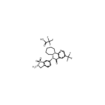 CN1Cc2ccc(NC(=O)c3cc(C(F)(F)F)cnc3N3CCCCCC3)cc2S1(=O)=O.O=C(O)C(F)(F)F